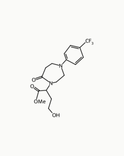 COC(=O)C(CCO)N1CCN(c2ccc(C(F)(F)F)cc2)CCC1=O